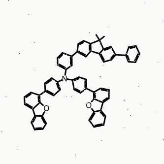 CC1(C)c2ccc(-c3cccc(N(c4ccc(-c5cccc6c5oc5ccccc56)cc4)c4ccc(-c5cccc6c5oc5ccccc56)cc4)c3)cc2-c2ccc(-c3ccccc3)cc21